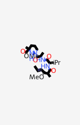 C/C=C/[C@@H](OC)C(C)C(=O)NC(C(=O)NC(C)C(=O)N1CCCC(C)(C(=O)OC)N1)C(C)C